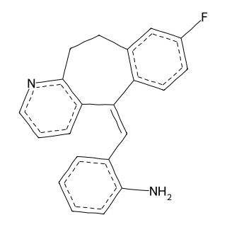 Nc1ccccc1/C=C1/c2ccc(F)cc2CCc2ncccc21